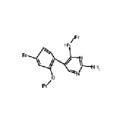 CC(C)Nc1nc(N)ncc1-c1ccc(Br)cc1OC(C)C